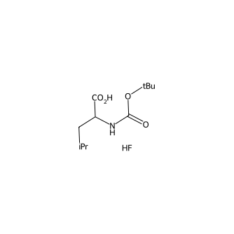 CC(C)CC(NC(=O)OC(C)(C)C)C(=O)O.F